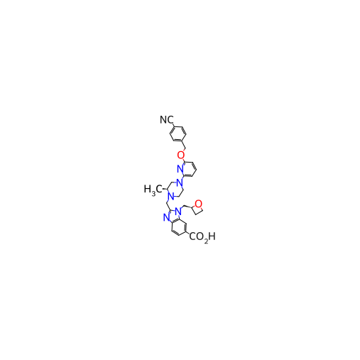 C[C@H]1CN(c2cccc(OCc3ccc(C#N)cc3)n2)CCN1Cc1nc2ccc(C(=O)O)cc2n1C[C@@H]1CCO1